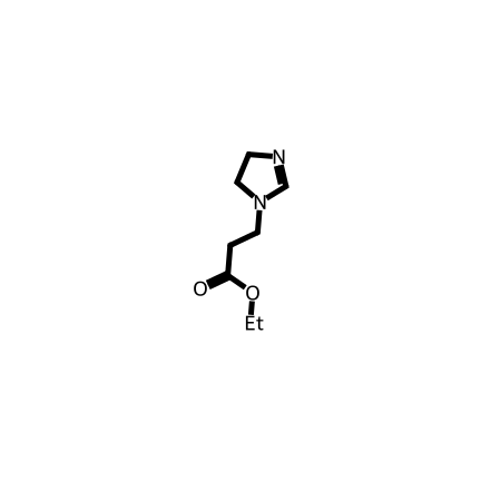 CCOC(=O)CCN1C=NCC1